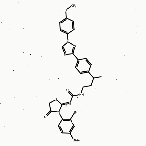 COc1ccc(N2C(=O)CS/C2=N\C(=O)NCCC(C)c2ccc(-c3ncn(-c4ccc(OC(F)(F)F)cc4)n3)cc2)c(C(C)C)c1